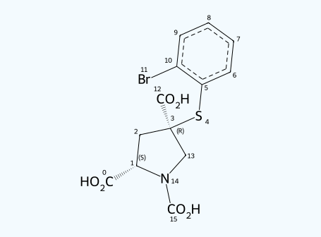 O=C(O)[C@@H]1C[C@](Sc2ccccc2Br)(C(=O)O)CN1C(=O)O